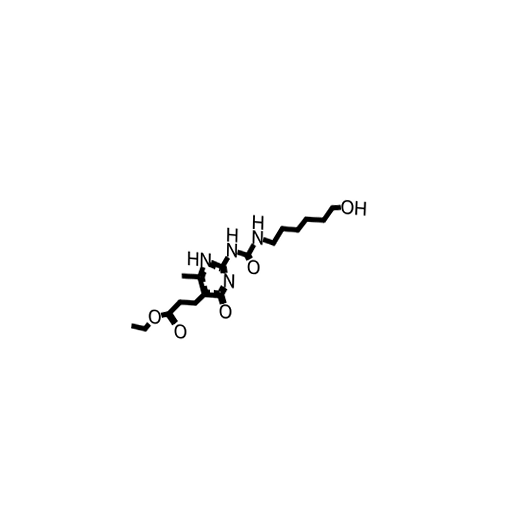 CCOC(=O)CCc1c(C)[nH]c(NC(=O)NCCCCCCO)nc1=O